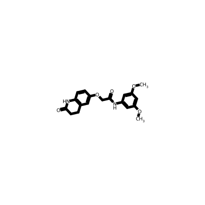 COc1cc(NC(=O)COc2ccc3c(c2)CCC(=O)N3)cc(OC)c1